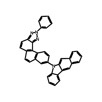 c1ccc(-n2nc3ccc4ccc5cc(-n6c7ccccc7c7cc8ccccc8cc76)ccc5c4c3n2)cc1